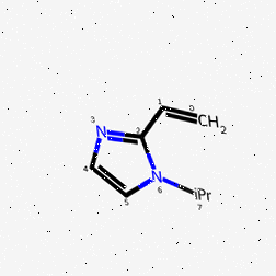 C=Cc1nccn1C(C)C